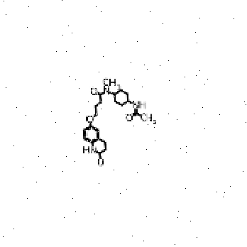 CC(=O)NC1CCC(N(C)C(=O)CCCOc2ccc3c(c2)CCC(=O)N3)CC1